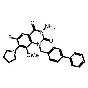 COc1c(N2CCCC2)c(F)cc2c(=O)n(N)c(=O)n(Cc3ccc(-c4ccccc4)cc3)c12